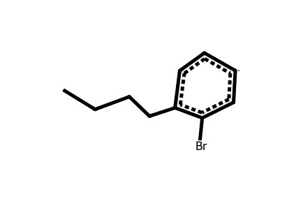 CCCCc1cc[c]cc1Br